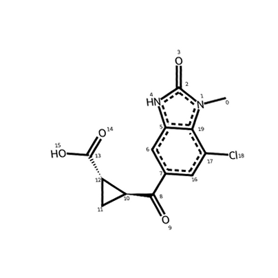 Cn1c(=O)[nH]c2cc(C(=O)[C@H]3C[C@@H]3C(=O)O)cc(Cl)c21